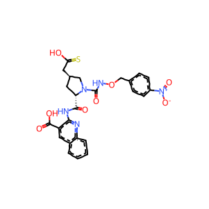 O=C(O)c1cc2ccccc2nc1NC(=O)[C@@H]1C[C@@H](CC(O)=S)CN1C(=O)NOCc1ccc([N+](=O)[O-])cc1